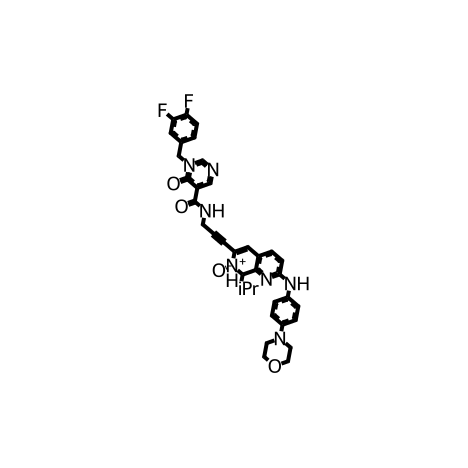 CC(C)C1c2nc(Nc3ccc(N4CCOCC4)cc3)ccc2C=C(C#CCNC(=O)c2cncn(Cc3ccc(F)c(F)c3)c2=O)[NH+]1[O-]